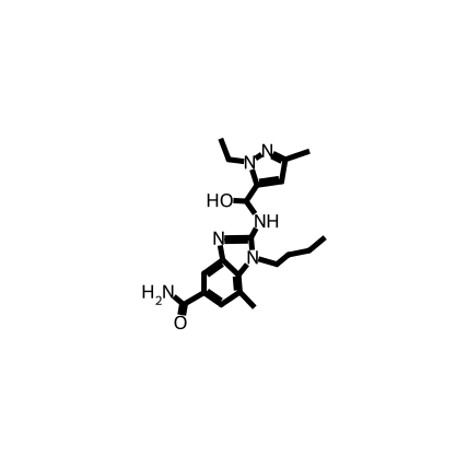 CCCCn1c(NC(O)c2cc(C)nn2CC)nc2cc(C(N)=O)cc(C)c21